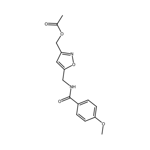 COc1ccc(C(=O)NCc2cc(COC(C)=O)no2)cc1